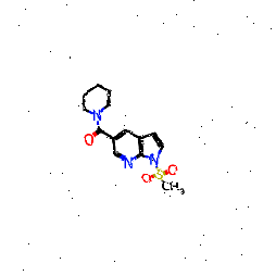 CS(=O)(=O)n1ccc2cc(C(=O)N3CCCCC3)cnc21